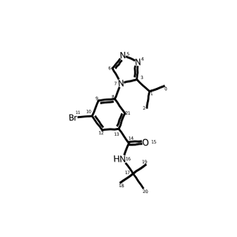 CC(C)c1nncn1-c1cc(Br)cc(C(=O)NC(C)(C)C)c1